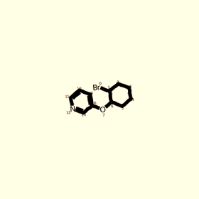 BrC1CCCCC1Oc1cccnc1